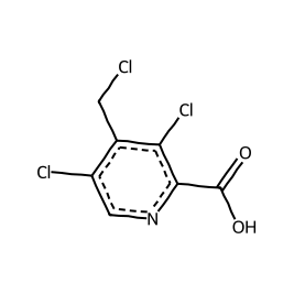 O=C(O)c1ncc(Cl)c(CCl)c1Cl